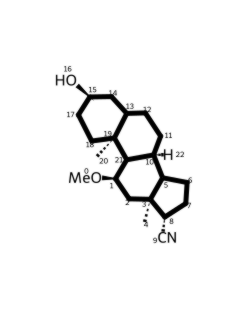 CO[C@@H]1C[C@@]2(C)C(CC[C@@H]2C#N)[C@@H]2CCC3C[C@H](O)CC[C@]3(C)C21